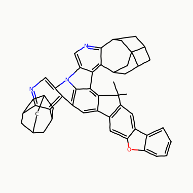 CC1(C)c2cc3c(cc2-c2cc4c5c6c(ncc5n5c7cnc8c(c7c(c21)c45)C1CC2CC4CC8CC42C1)C1CC2CC(C1)CC6C2)oc1ccccc13